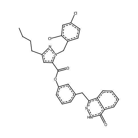 CCCCc1cc(C(=O)Oc2cccc(Cc3n[nH]c(=O)c4ccccc34)c2)n(Cc2ccc(Cl)cc2Cl)n1